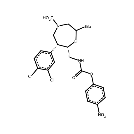 CC(C)(C)C1CN(C(=O)O)C[C@@H](c2ccc(Cl)c(Cl)c2)[C@@H](CNC(=O)Oc2ccc([N+](=O)[O-])cc2)O1